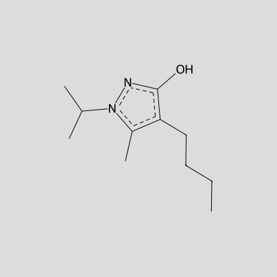 CCCCc1c(O)nn(C(C)C)c1C